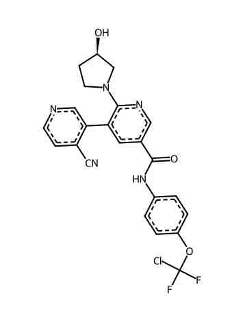 N#Cc1ccncc1-c1cc(C(=O)Nc2ccc(OC(F)(F)Cl)cc2)cnc1N1CC[C@@H](O)C1